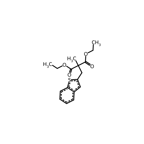 CCOC(=O)C(C)(Cc1cc2ccccc2s1)C(=O)OCC